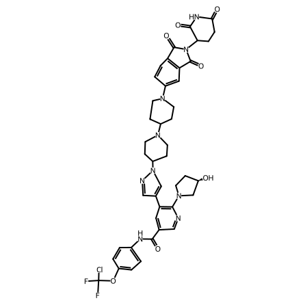 O=C1CCC(N2C(=O)c3ccc(N4CCC(N5CCC(n6cc(-c7cc(C(=O)Nc8ccc(OC(F)(F)Cl)cc8)cnc7N7CC[C@@H](O)C7)cn6)CC5)CC4)cc3C2=O)C(=O)N1